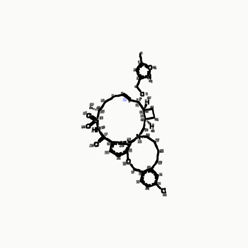 Cc1cc(CO[C@H]2/C=C/CC[C@@H](C)S(=O)(=O)NC(=O)c3ccc4c(c3)N(CCCCc3cc(Cl)ccc3CO4)C[C@@H]3CC[C@H]32)no1